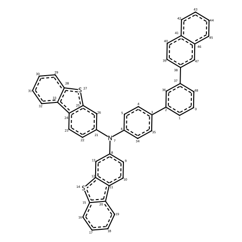 c1cc(-c2ccc(N(c3ccc4c(c3)sc3ccccc34)c3ccc4c(c3)sc3ccccc34)cc2)cc(-c2ccc3ccccc3c2)c1